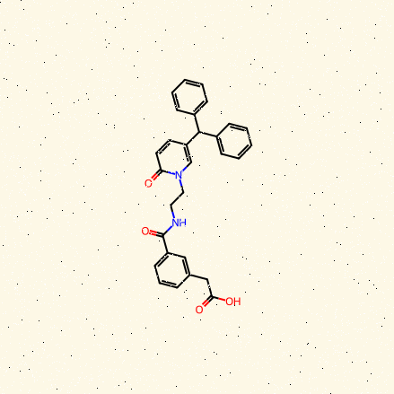 O=C(O)Cc1cccc(C(=O)NCCn2cc(C(c3ccccc3)c3ccccc3)ccc2=O)c1